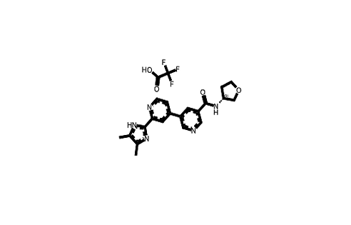 Cc1nc(-c2cc(-c3cncc(C(=O)N[C@@H]4CCOC4)c3)ccn2)[nH]c1C.O=C(O)C(F)(F)F